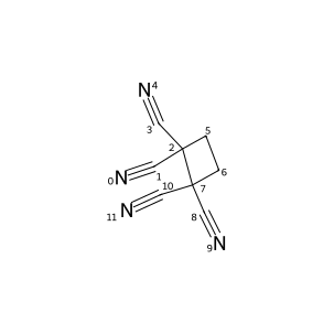 N#CC1(C#N)CCC1(C#N)C#N